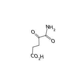 NC(=O)C(=O)CCC(=O)O